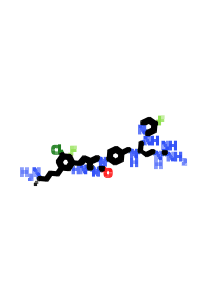 C[C@H](N)CCCc1cc(Cl)c(F)c(-c2cc3cn(-c4ccc(CN[C@H](CCNC(=N)N)CNc5cc(F)ccn5)cc4)c(=O)nc3[nH]2)c1